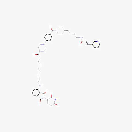 O=C(/C=C/c1cccnc1)NCCCCC1CCN(C(=O)c2ccc(N3CCN(C(=O)CCOCCOCCNc4cccc5c4C(=O)N(C4CCC(=O)NC4=O)C5=O)CC3)cc2)CC1